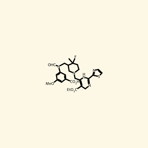 CCOC(=O)C1=C(CN2CCC(C)(F)C(CN(C=O)c3cc(OC)cc(C(=O)O)c3)C2)NC(c2nccs2)=NC1